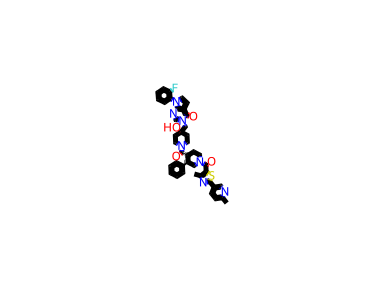 Cc1ccc(-c2nc(C)c(C(=O)N3CC[C@@H](C(=O)N4CCC(O)(Cn5cnc6c(ccn6-c6ccccc6F)c5=O)CC4)[C@H](c4ccccc4)C3)s2)cn1